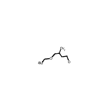 CCC(C)COCC(C)CC[O]